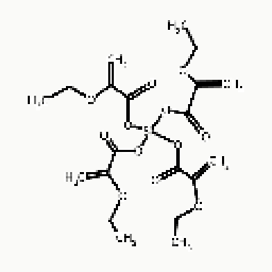 C=C(OCC)C(=O)O[Si](OC(=O)C(=C)OCC)(OC(=O)C(=C)OCC)OC(=O)C(=C)OCC